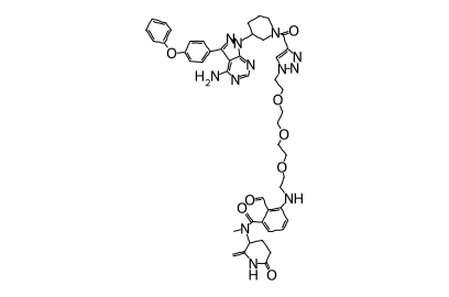 C=C1NC(=O)CCC1N(C)C(=O)c1cccc(NCCOCCOCCOCCn2cc(C(=O)N3CCCC(n4nc(-c5ccc(Oc6ccccc6)cc5)c5c(N)ncnc54)C3)nn2)c1C=O